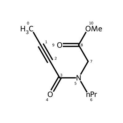 CC#CC(=O)N(CCC)CC(=O)OC